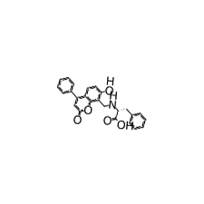 O=C(O)[C@@H](Cc1ccccc1)NCc1c(O)ccc2c(-c3ccccc3)cc(=O)oc12